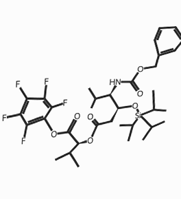 CC(C)[C@H](OC(=O)C[C@H](O[Si](C(C)C)(C(C)C)C(C)C)[C@H](NC(=O)OCc1ccccc1)C(C)C)C(=O)Oc1c(F)c(F)c(F)c(F)c1F